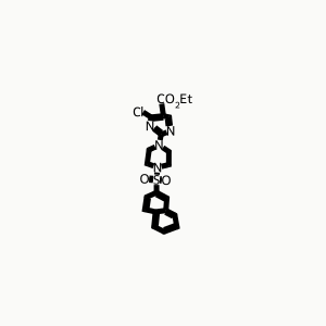 CCOC(=O)c1cnc(N2CCN(S(=O)(=O)c3ccc4ccccc4c3)CC2)nc1Cl